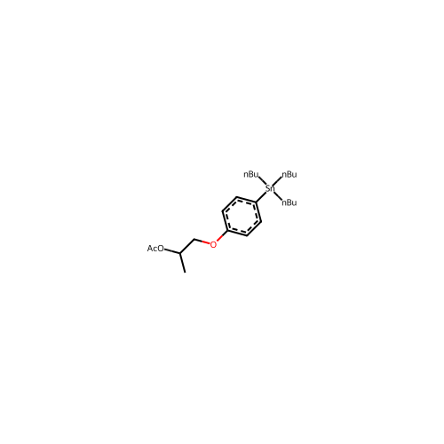 CCC[CH2][Sn]([CH2]CCC)([CH2]CCC)[c]1ccc(OCC(C)OC(C)=O)cc1